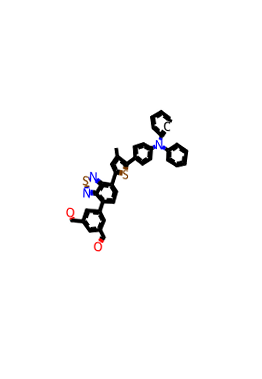 Cc1cc(-c2ccc(-c3cc(C=O)cc(C=O)c3)c3nsnc23)sc1-c1ccc(N(c2ccccc2)c2ccccc2)cc1